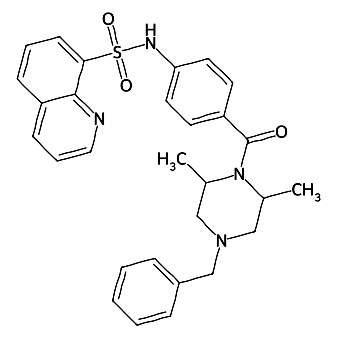 CC1CN(Cc2ccccc2)CC(C)N1C(=O)c1ccc(NS(=O)(=O)c2cccc3cccnc23)cc1